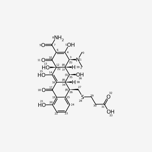 CN(C)[C@@H]1C(O)=C(C(N)=O)C(=O)[C@@]2(O)C(O)=C3C(=O)c4c(O)cccc4[C@H](CSCCC(=O)O)[C@H]3[C@H](O)[C@@H]12